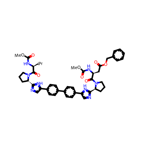 COC(=O)N[C@@H](CC(=O)OCc1ccccc1)C(=O)N1CCC[C@H]1c1ncc(-c2ccc(-c3ccc(-c4cnc([C@@H]5CCCN5C(=O)[C@@H](NC(=O)OC)C(C)C)[nH]4)cc3)cc2)[nH]1